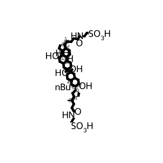 CCCC[C@H]1[C@H]([C@@H]2CC[C@H]([C@H](C)CCC(=O)NCCS(=O)(=O)O)C2)[C@@H](O)CC2CC(O)(C3(O)CC[C@@]4(C)C(C[C@H](O)[C@H]5[C@@H]6CC[C@H]([C@H](C)CCC(=O)NCCS(=O)(=O)O)[C@@]6(C)CC[C@@H]54)C3)CC[C@@]21C